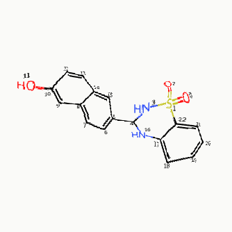 O=S1(=O)NC(c2ccc3cc(O)ccc3c2)Nc2ccccc21